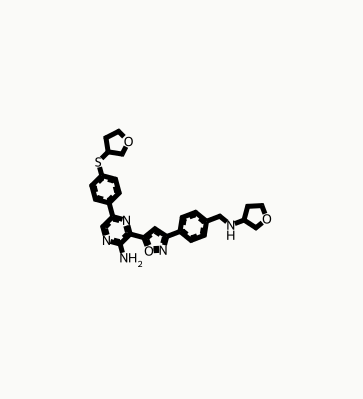 Nc1ncc(-c2ccc(SC3CCOC3)cc2)nc1-c1cc(-c2ccc(CNC3CCOC3)cc2)no1